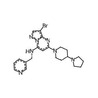 Brc1cnn2c(NCc3cccnc3)cc(N3CCC(N4CCCC4)CC3)nc12